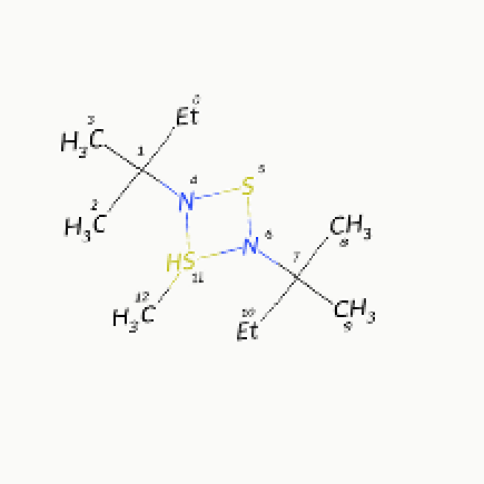 CCC(C)(C)N1SN(C(C)(C)CC)[SH]1C